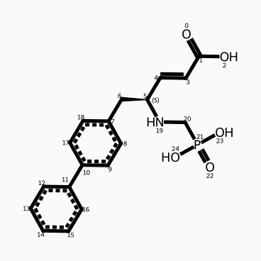 O=C(O)C=C[C@H](Cc1ccc(-c2ccccc2)cc1)NCP(=O)(O)O